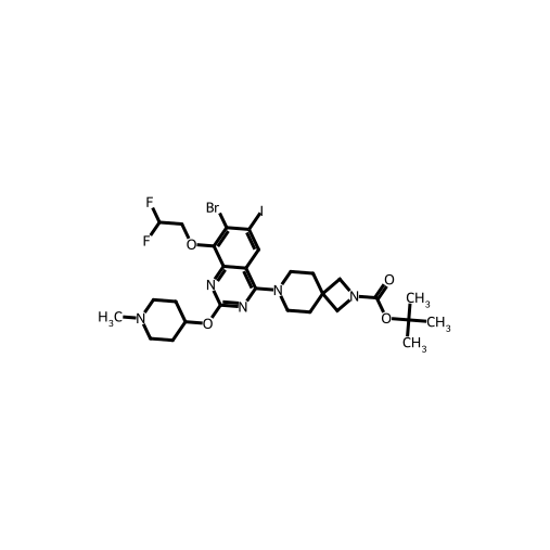 CN1CCC(Oc2nc(N3CCC4(CC3)CN(C(=O)OC(C)(C)C)C4)c3cc(I)c(Br)c(OCC(F)F)c3n2)CC1